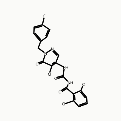 O=C(NC(=O)c1c(Cl)cccc1Cl)Nc1cnn(Cc2ccc(Cl)cc2)c(=O)c1Cl